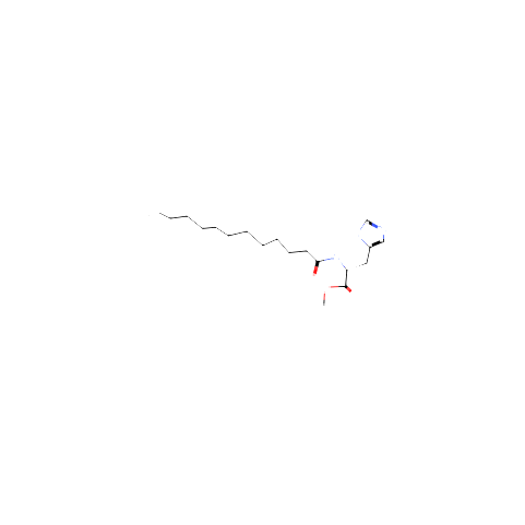 CCCCCCCCCCCC(=O)N[C@@H](Cc1cnc[nH]1)C(=O)OC